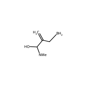 BCC(=C)C(O)NC